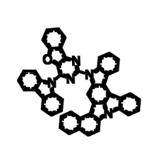 c1ccc2c(c1)ccc1c2c2cc3c(c4ccccc4n3-c3nc(-n4c5ccccc5c5ccccc54)c4oc5ccccc5c4n3)c3c4ccccc4n1c23